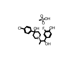 CC(C(O)c1ccc(O)c(F)c1)N1CCC(O)(c2ccc(Cl)cc2)CC1.CS(=O)(=O)O